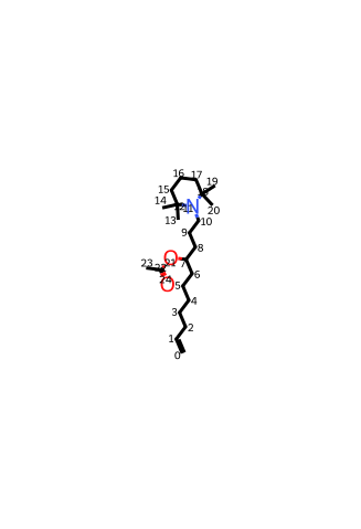 C=CCCCCCC(CCCN1C(C)(C)CCCC1(C)C)OC(C)=O